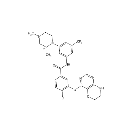 C[C@@H]1CN(C)CCN1c1cc(NC(=O)c2ccc(Cl)c(Oc3ncnc4c3OCCN4)c2)cc(C(F)(F)F)c1